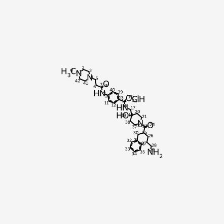 CN1CCN(CCC(=O)Nc2ccc(C(=O)NCC3(O)CCN(C(=O)C(CCCN)Cc4ccccc4)CC3)cc2)CC1.Cl